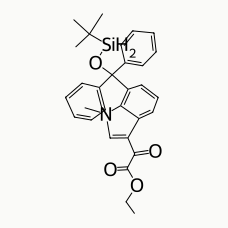 CCOC(=O)C(=O)c1cn(C)c2c(C(O[SiH2]C(C)(C)C)(c3ccccc3)c3ccccc3)cccc12